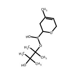 CC1=CCOC(B(O)OC(C)(C)C(C)(C)O)C1